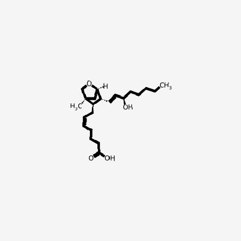 CCCCC[C@@H](O)/C=C/[C@@H]1[C@@H](C/C=C\CCCC(=O)O)[C@@]2(C)CO[C@@H]1C2